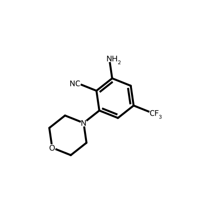 N#Cc1c(N)cc(C(F)(F)F)cc1N1CCOCC1